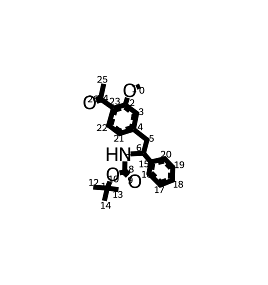 COc1cc(CC(NC(=O)OC(C)(C)C)c2ccccc2)ccc1C(C)=O